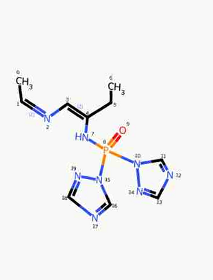 C/C=N\C=C(\CC)NP(=O)(n1cncn1)n1cncn1